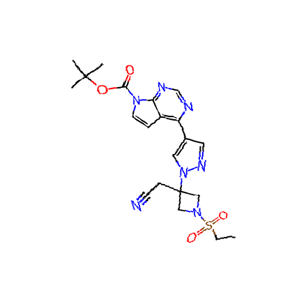 CCS(=O)(=O)N1CC(CC#N)(n2cc(-c3ncnc4c3ccn4C(=O)OC(C)(C)C)cn2)C1